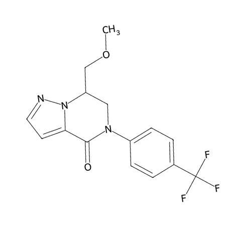 COCC1CN(c2ccc(C(F)(F)F)cc2)C(=O)c2ccnn21